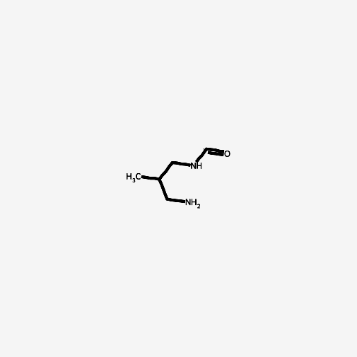 CC(CN)CN[C]=O